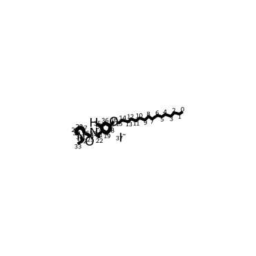 CCCCCCCCCCCCCCCCOc1ccc(C(C)NC(=O)c2cccc[n+]2CC)c(C)c1.[I-]